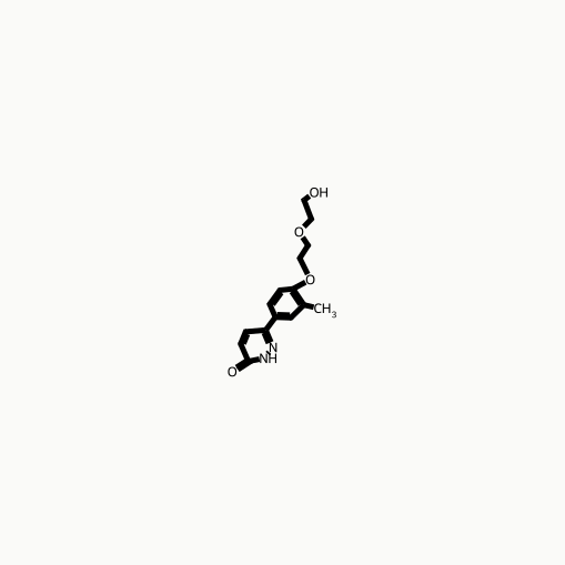 Cc1cc(-c2ccc(=O)[nH]n2)ccc1OCCOCCO